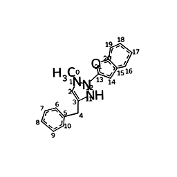 CN1C=C(Cc2ccccc2)NN1c1cc2ccccc2o1